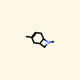 CC1=CCC2C(C1)CN2C